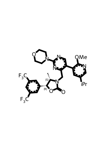 COc1ncc(C(C)C)cc1-c1cnc(N2CCOCC2)nc1CN1C(=O)O[C@H](c2cc(C(F)(F)F)cc(C(F)(F)F)c2)[C@@H]1C